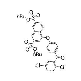 CCCCOS(=O)(=O)c1ccc2c(Oc3ccc(C(=O)c4cc(Cl)ccc4Cl)cc3)cc(S(=O)(=O)OCCCC)cc2c1